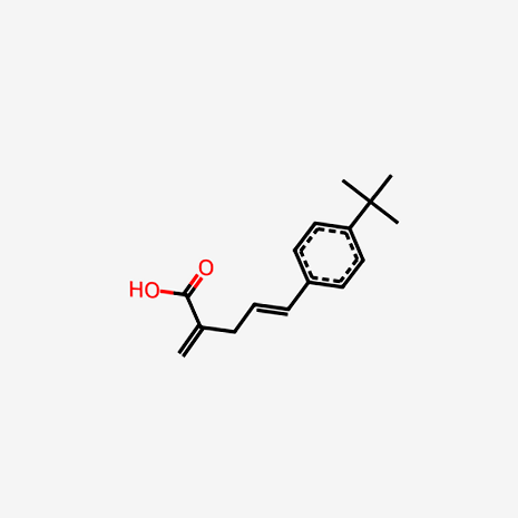 C=C(CC=Cc1ccc(C(C)(C)C)cc1)C(=O)O